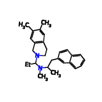 CCC(N1CCc2cc(C)c(C)cc2C1)N(C)C(C)Cc1ccc2ccccc2c1